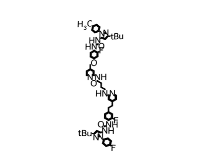 Cc1ccc(-n2nc(C(C)(C)C)cc2NC(=O)Nc2ccc(OCc3ccnc(NC(=O)CCCNc4cc(CCc5ccc(NC(=O)Nc6cc(C(C)(C)C)nn6-c6ccc(F)cc6)c(F)c5)ccn4)c3)cc2F)cc1